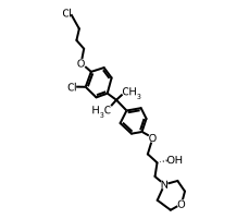 CC(C)(c1ccc(OC[C@H](O)CN2CCOCC2)cc1)c1ccc(OCCCCl)c(Cl)c1